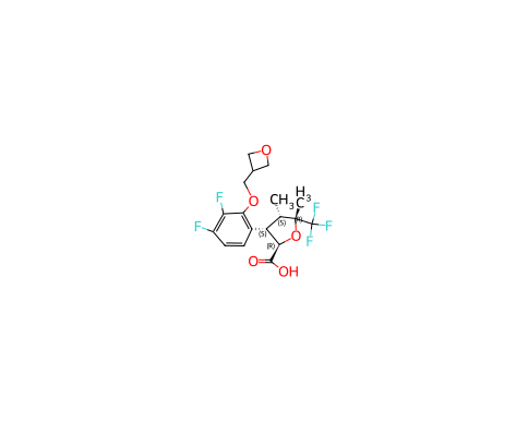 C[C@H]1[C@@H](c2ccc(F)c(F)c2OCC2COC2)[C@H](C(=O)O)O[C@@]1(C)C(F)(F)F